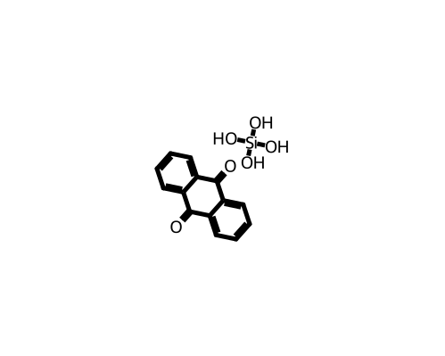 O=C1c2ccccc2C(=O)c2ccccc21.O[Si](O)(O)O